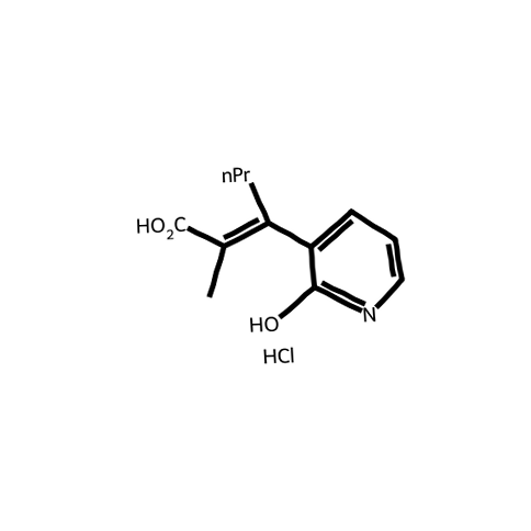 CCCC(=C(C)C(=O)O)c1cccnc1O.Cl